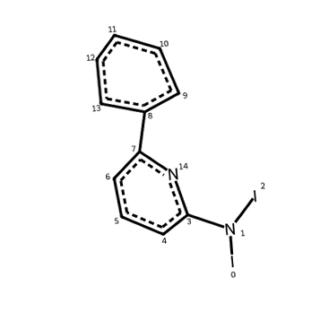 IN(I)c1cccc(-c2ccccc2)n1